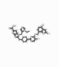 CCn1cncc1Cn1c(CC2CC=C(c3ncc(F)c(OCc4ccc(Cl)c5cc(F)oc45)n3)CC2)nc2sc(C(=O)O)cc21